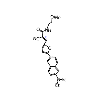 CCN(CC)c1ccc2cc(-c3ccc(/C=C(\C#N)C(=O)NCCOC)o3)ccc2c1